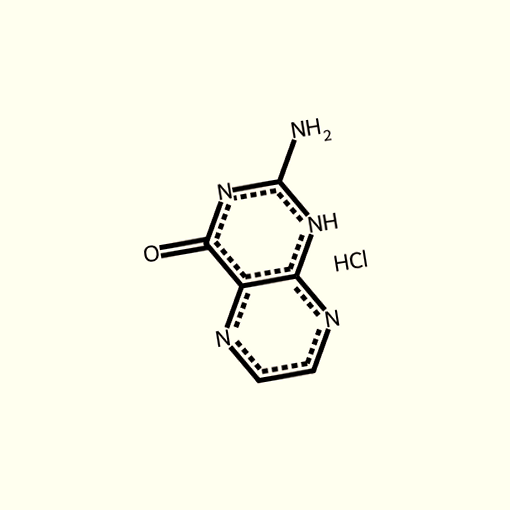 Cl.Nc1nc(=O)c2nccnc2[nH]1